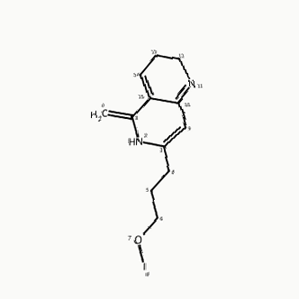 C=C1NC(CCCOI)=CC2=NCCC=C12